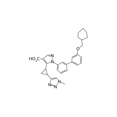 Cn1cc(C2CC2c2c(C(=O)O)cnn2-c2cccc(-c3cccc(OCC4CCCCC4)c3)c2)nn1